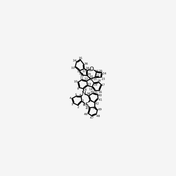 Cc1ccccc1N(c1cccc2c1-c1ccccc1[C@@]21c2ccccc2Oc2c1ccc1ccccc21)c1cccc2c1sc1ccccc12